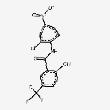 O=C(Nc1ccc([N+](=O)[O-])cc1Cl)c1cc(C(F)(F)F)ccc1O